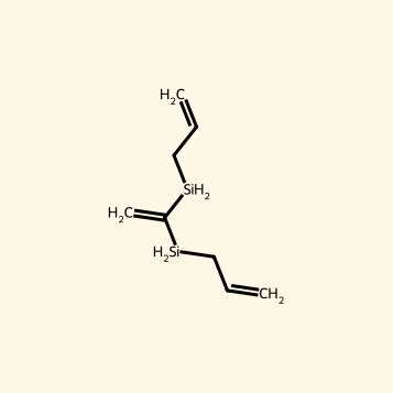 C=CC[SiH2]C(=C)[SiH2]CC=C